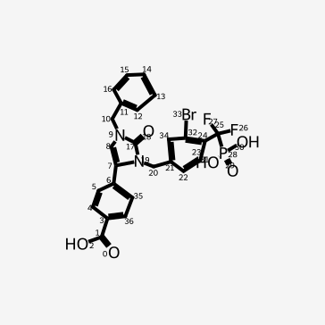 O=C(O)c1ccc(-c2cn(Cc3ccccc3)c(=O)n2Cc2ccc(C(F)(F)P(=O)(O)O)c(Br)c2)cc1